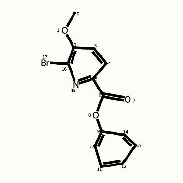 COc1ccc(C(=O)Oc2ccccc2)nc1Br